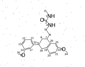 CNC(=O)NCCC1CC(c2cccc(OC)c2)Cc2ccc(OC)cc21